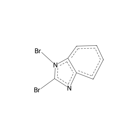 Brc1nc2ccccc2n1Br